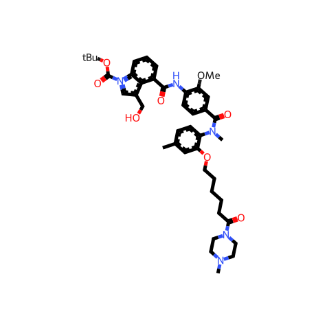 COc1cc(C(=O)N(C)c2ccc(C)cc2OCCCCCC(=O)N2CCN(C)CC2)ccc1NC(=O)c1cccc2c1c(CO)cn2C(=O)OC(C)(C)C